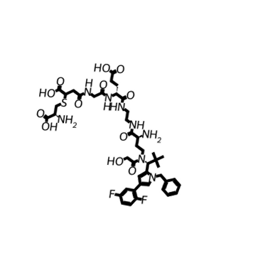 CC(C)(C)[C@H](c1cc(-c2cc(F)ccc2F)cn1Cc1ccccc1)N(CC[C@H](N)C(=O)NCCNC(=O)[C@@H](CCC(=O)O)NC(=O)CNC(=O)CC(SC[C@H](N)C(=O)O)C(=O)O)C(=O)CO